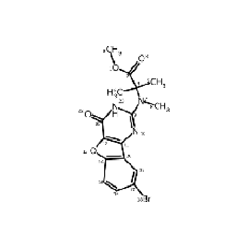 COC(=O)C(C)(C)N(C)c1nc2c(oc3ccc(Br)cc32)c(=O)[nH]1